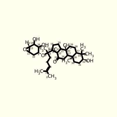 CC(C)=CCCC(C)(O[C@@H]1CC2O[C@@H]2C(O)C1O)C1CC[C@]2(C)C1C(=O)CC1[C@@]3(C)CC[C@H](O)C(C)(C)C3CC[C@]12C